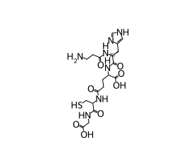 NCCC(=O)N[C@@H](Cc1c[nH]cn1)C(=O)NC(CCC(=O)NC(CS)C(=O)NCC(=O)O)C(=O)O